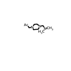 CC(=O)CN1CCN(CN(C)C)CC1